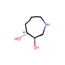 OC1CNCCC[C@H]1O